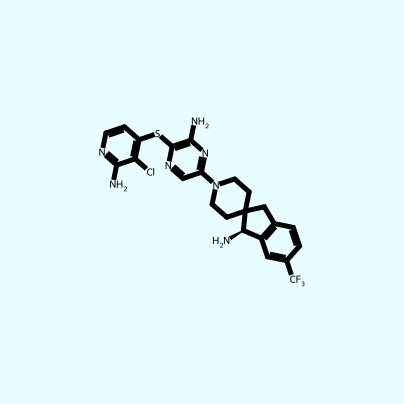 Nc1nc(N2CCC3(CC2)Cc2ccc(C(F)(F)F)cc2[C@H]3N)cnc1Sc1ccnc(N)c1Cl